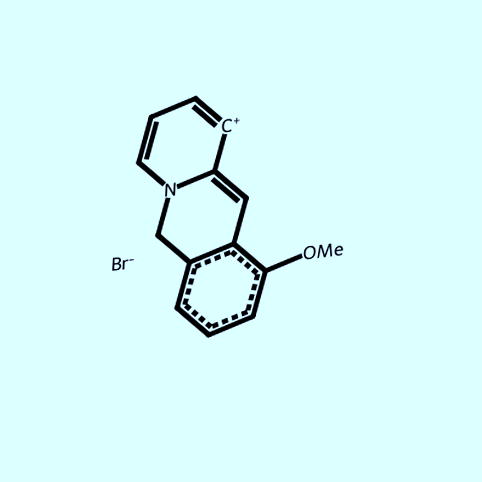 COc1cccc2c1C=C1[C+]=CC=CN1C2.[Br-]